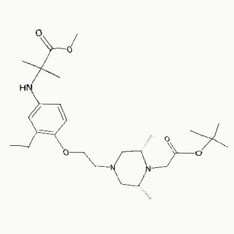 CCc1cc(NC(C)(C)C(=O)OC)ccc1OCCN1C[C@@H](C)N(CC(=O)OC(C)(C)C)[C@@H](C)C1